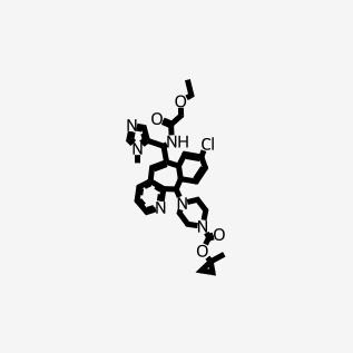 CCOCC(=O)NC(C1=Cc2cccnc2C(N2CCN(C(=O)OC3(C)CC3)CC2)C2C=CC(Cl)=CC12)c1cncn1C